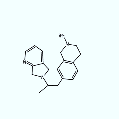 CC(C)N1CCc2ccc(CC(C)N3Cc4cccnc4C3)cc2C1